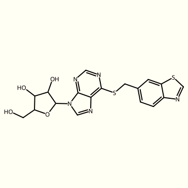 OCC1OC(n2cnc3c(SCc4ccc5ncsc5c4)ncnc32)C(O)C1O